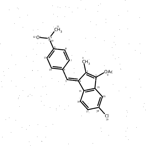 CC(=O)OC1=C(C)C(=Cc2ccc([S+](C)[O-])cc2)c2ccc(Cl)cc21